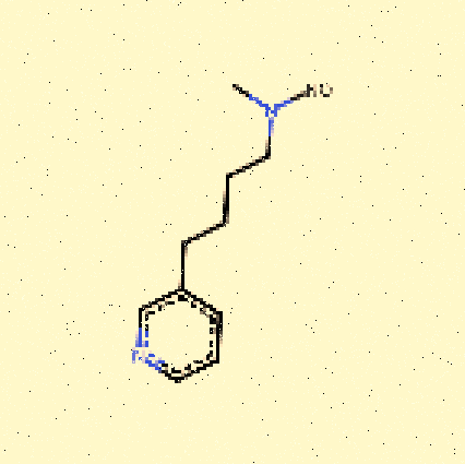 CN(CCCCc1cccnc1)N=O